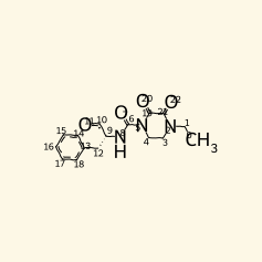 CCN1CCN(C(=O)N[C@@H]([C]=O)Cc2ccccc2)C(=O)C1=O